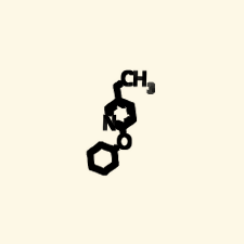 CCc1ccc(OC2CCCCC2)nc1